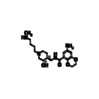 CNCCCCN1CC[C@@H](CNC(=O)c2cc(N)cc3c2OCCO3)[C@H](O)C1